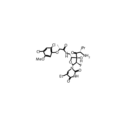 CCc1cn([C@@H]2O[C@H](CNC(=O)[C@@H](C)Oc3cc(OC)c(Cl)cc3Cl)[C@](O)(C(=O)[C@@H](N)C(C)C)[C@H]2F)c(=O)[nH]c1=O